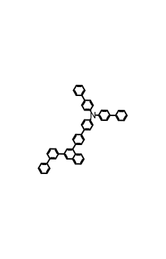 c1ccc(-c2ccc(N(c3ccc(-c4ccccc4)cc3)c3ccc(-c4ccc(-c5cc(-c6cccc(-c7ccccc7)c6)cc6ccccc56)cc4)cc3)cc2)cc1